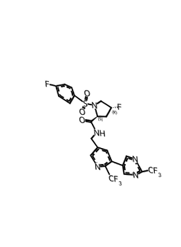 O=C(NCc1cnc(C(F)(F)F)c(-c2cnc(C(F)(F)F)nc2)c1)[C@@H]1C[C@@H](F)CN1S(=O)(=O)c1ccc(F)cc1